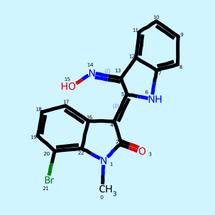 CN1C(=O)/C(=C2\Nc3ccccc3\C2=N\O)c2cccc(Br)c21